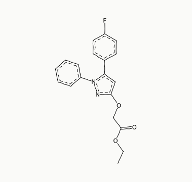 CCOC(=O)COc1cc(-c2ccc(F)cc2)n(-c2ccccc2)n1